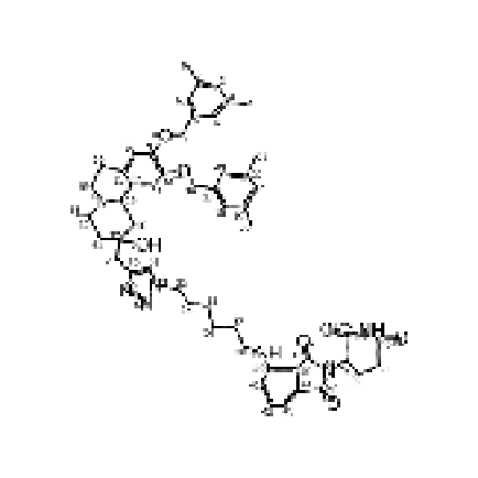 Cc1cc(C)cc(COc2cc3c(cc2OCc2cc(C)cc(C)c2)C2CC(O)(Cc4cn(CCCCCCNc5cccc6c5C(=O)N(C5CCC(=O)NC5=O)C6=O)nn4)CC(C)N2CC3)c1